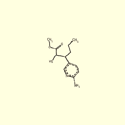 CCCC(c1ccc(N)nc1)C(S)C(=O)OC